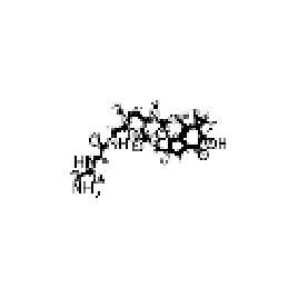 CC(=O)OC[C@]1(C)C=C2C(=O)[C@](C)(O)C3(CC3)C(C)=C2[C@@H]1OC(=O)N(C)CCN(C)C(=O)CNC(=O)CNC(=O)CN